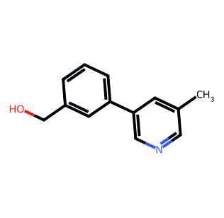 Cc1cncc(-c2cccc(CO)c2)c1